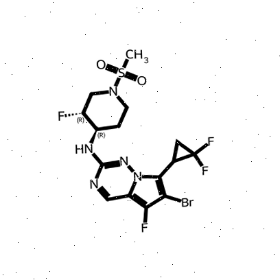 CS(=O)(=O)N1CC[C@@H](Nc2ncc3c(F)c(Br)c(C4CC4(F)F)n3n2)[C@H](F)C1